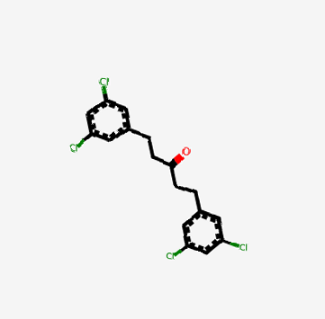 O=C(CCc1cc(Cl)cc(Cl)c1)CCc1cc(Cl)cc(Cl)c1